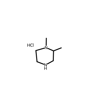 CC1CNCCN1C.Cl